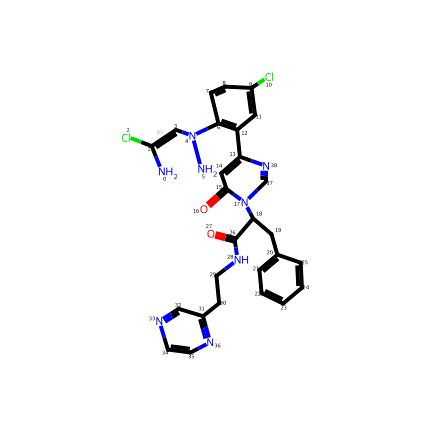 N/C(Cl)=C\N(N)c1ccc(Cl)cc1-c1cc(=O)n(C(Cc2ccccc2)C(=O)NCCc2cnccn2)cn1